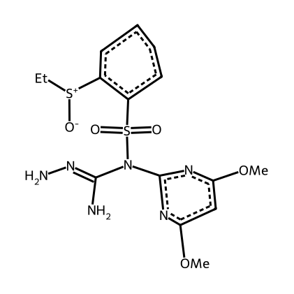 CC[S+]([O-])c1ccccc1S(=O)(=O)N(C(N)=NN)c1nc(OC)cc(OC)n1